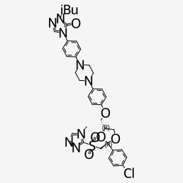 CCC(C)n1ncn(-c2ccc(N3CCN(c4ccc(OC[C@@H]5CO[C@](CS(=O)(=O)c6nncn6C)(c6ccc(Cl)cc6)O5)cc4)CC3)cc2)c1=O